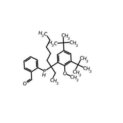 CCCCCC(CC)(Pc1ccccc1C=O)c1cc(C(C)(C)C)cc(C(C)(C)C)c1OC